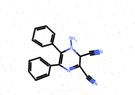 N#CC1=NC(c2ccccc2)=C(c2ccccc2)N(N)C1C#N